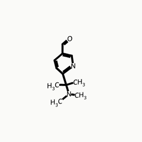 CN(C)C(C)(C)c1ccc(C=O)cn1